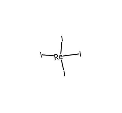 [I][Re]([I])([I])[I]